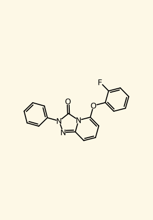 O=c1n(-c2ccccc2)nc2cccc(Oc3ccccc3F)n12